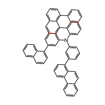 c1ccc(-c2cccc3cccc(-c4ccccc4N(c4cccc(-c5cccc6ccccc56)c4)c4cccc(-c5cccc6c5ccc5ccccc56)c4)c23)cc1